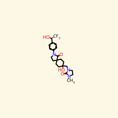 CN1CCN(CC2(O)CCC3(CCN(c4ccc([C@@H](O)C(F)(F)F)cc4)C3=O)CC2)C1=O